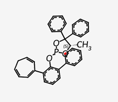 C[C@@H]1OP(Oc2c(C3=CC=CCC=C3)cccc2-c2ccccc2)OC1(c1ccccc1)c1ccccc1